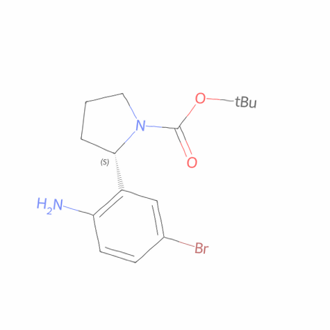 CC(C)(C)OC(=O)N1CCC[C@H]1c1cc(Br)ccc1N